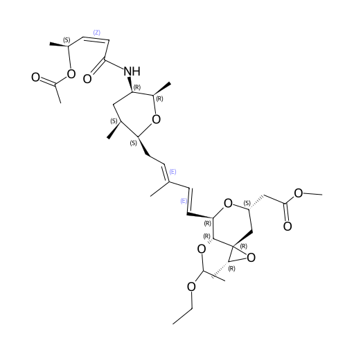 CCOC(C)O[C@@H]1[C@@H](/C=C/C(C)=C/C[C@@H]2O[C@H](C)[C@H](NC(=O)/C=C\[C@H](C)OC(C)=O)C[C@@H]2C)O[C@H](CC(=O)OC)C[C@]12O[C@@H]2C